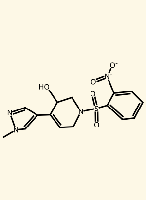 Cn1cc(C2=CCN(S(=O)(=O)c3ccccc3[N+](=O)[O-])CC2O)cn1